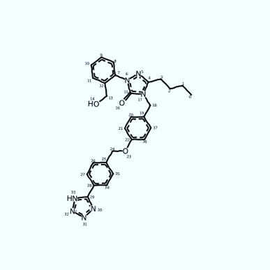 CCCCc1nn(-c2ccccc2CO)c(=O)n1Cc1ccc(OCc2ccc(-c3nnn[nH]3)cc2)cc1